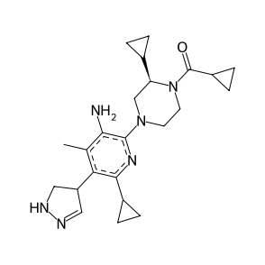 Cc1c(N)c(N2CCN(C(=O)C3CC3)[C@H](C3CC3)C2)nc(C2CC2)c1C1C=NNC1